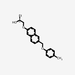 CC[C@H](O)COc1ccc2cc(COc3ccc(C)cc3)ccc2c1